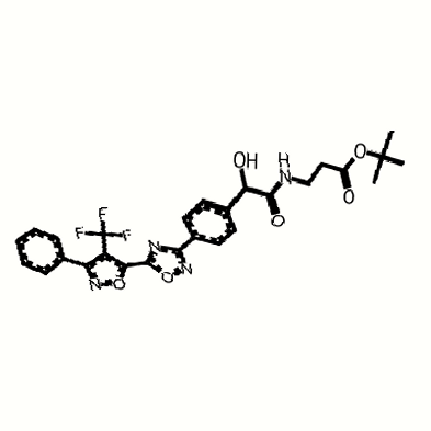 CC(C)(C)OC(=O)CCNC(=O)C(O)c1ccc(-c2noc(-c3onc(-c4ccccc4)c3C(F)(F)F)n2)cc1